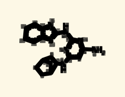 Nc1cc(NC2CC3CCC2C3)nc(Nc2nc3ccccc3s2)n1